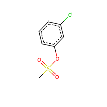 CS(=O)(=O)Oc1cc[c]c(Cl)c1